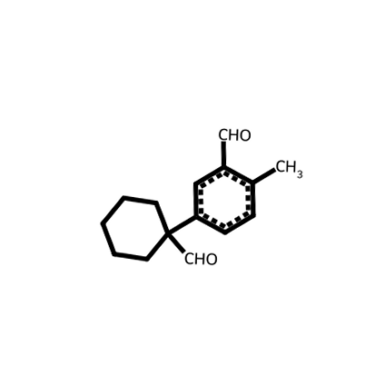 Cc1ccc(C2(C=O)CCCCC2)cc1C=O